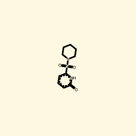 O=c1cccc(S(=O)(=O)N2CCCCC2)[nH]1